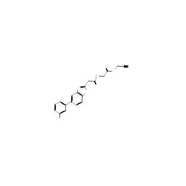 N#CCNC(=O)CNC(=O)Cc1nc2cc(-c3cccc(F)c3)ccc2s1